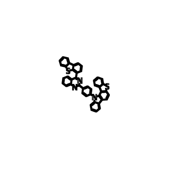 c1ccc2c(-c3cccc4c3sc3ccccc34)nc(-c3ccc(-n4c5ccccc5c5ccc6sc7ccccc7c6c54)cc3)nc2c1